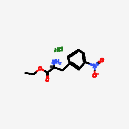 CCOC(=O)[C@@H](N)Cc1cccc([N+](=O)[O-])c1.Cl